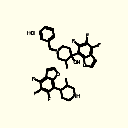 CC1CN(Cc2ccccc2)CCC1(O)c1c(F)c(F)c(F)c2ccoc12.CC1CNCCC1c1c(F)c(F)c(F)c2ccoc12.Cl